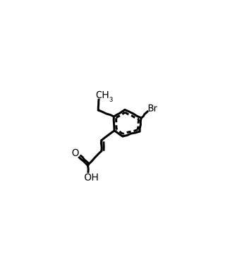 CCc1cc(Br)ccc1C=CC(=O)O